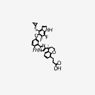 C[C@]1(c2c[nH]c(-c3cc(Oc4c(F)c(F)c5[nH]ccc5c4SC4CC4)ccc3F)n2)CCOc2c(CCC(=O)O)cccc21